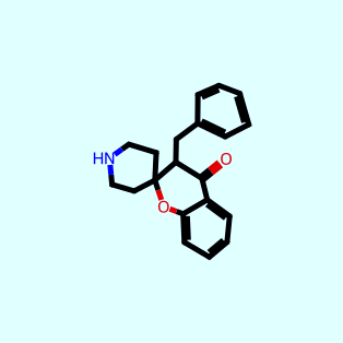 O=C1c2ccccc2OC2(CCNCC2)C1Cc1ccccc1